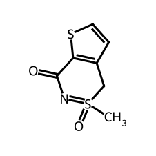 CS1(=O)=NC(=O)c2sccc2C1